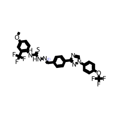 COc1ccc(NC(=S)N/N=C/c2ccc(-c3ncn(-c4ccc(OC(F)(F)F)cc4)n3)cc2)c(C(F)(F)F)c1